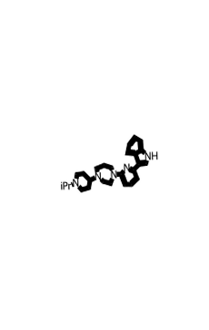 CC(C)N1CCC(N2CCCN(c3cccc(-c4c[nH]c5ccccc45)n3)CC2)CC1